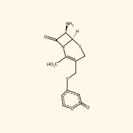 N[C@@H]1C(=O)N2C(C(=O)O)=C(CSc3ccoc(=O)c3)CS[C@H]12